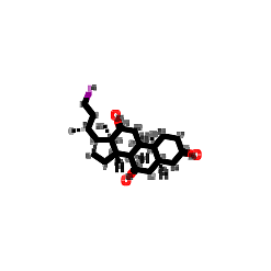 C[C@H](CCI)[C@H]1CC[C@H]2[C@@H]3C(=O)C[C@@H]4CC(=O)CC[C@]4(C)[C@H]3CC(=O)[C@]12C